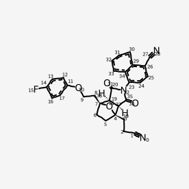 N#CCC[C@@]12CC[C@@](CCOc3ccc(F)cc3)(O1)[C@H]1C(=O)N(c3ccc(C#N)c4ccccc34)C(=O)[C@H]12